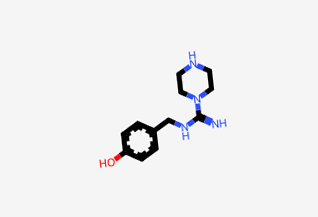 N=C(NCc1ccc(O)cc1)N1CCNCC1